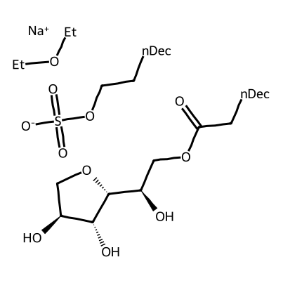 CCCCCCCCCCCC(=O)OC[C@@H](O)[C@H]1OC[C@H](O)[C@H]1O.CCCCCCCCCCCCOS(=O)(=O)[O-].CCOCC.[Na+]